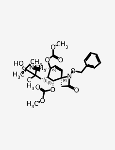 COC(=O)O[C@@H]1[C@H](CC(C)(C)[Si](C)(C)O)[C@@](C#N)(OC(=O)OC)C=C[C@]12CC(=O)N2OCc1ccccc1